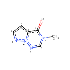 Cn1cnn2nccc2c1=O